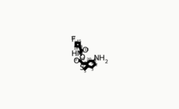 N[C@H]1CCc2csc(C(=O)ONC(=O)C3CC(F)C3)c2C1